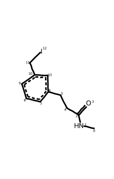 CNC(=O)CCc1cccc(CI)c1